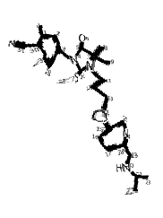 Cc1cc(N2C(=O)C(C)(C)N(CCCOc3ccc(CNC(C)C)nc3)C2=S)ccc1C#N